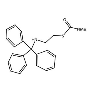 CNC(=O)SCCNC(c1ccccc1)(c1ccccc1)c1ccccc1